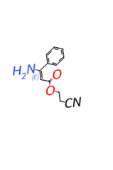 N#CCCOC(=O)/C=C(/N)c1ccccc1